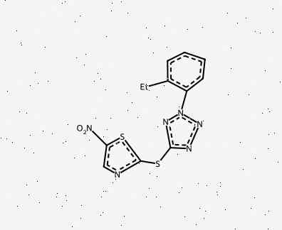 CCc1ccccc1-n1nnc(Sc2ncc([N+](=O)[O-])s2)n1